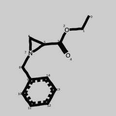 CCOC(=O)C1CN1Cc1ccccc1